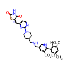 CCOC(=O)c1cc(CNCC2CCN(c3nccc(/C=C4/SC(=O)NC4=O)n3)CC2)cnc1-c1cc(C)ccc1C(=O)O